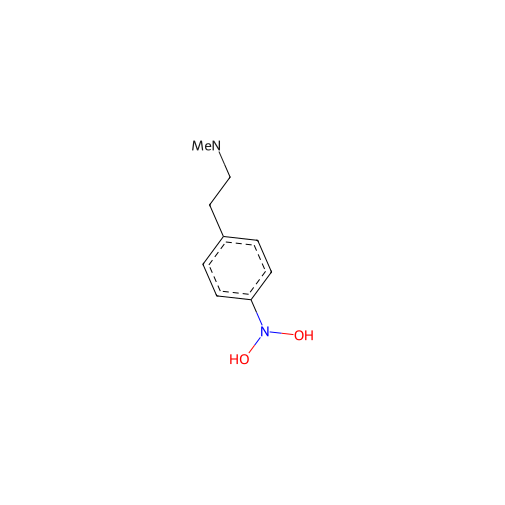 CNCCc1ccc(N(O)O)cc1